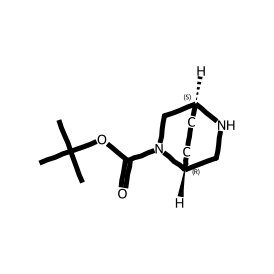 CC(C)(C)OC(=O)N1C[C@@H]2CC[C@@H]1CN2